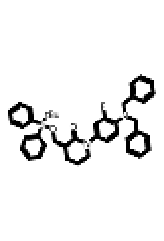 CC(C)(C)[Si](OCC1CCCN(c2ccc(N(Cc3ccccc3)Cc3ccccc3)c(F)c2)C1=O)(c1ccccc1)c1ccccc1